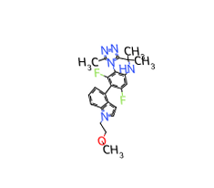 COCCn1ccc2c(-c3c(F)cc4c(c3F)-n3c(C)nnc3C(C)(C)N4)cccc21